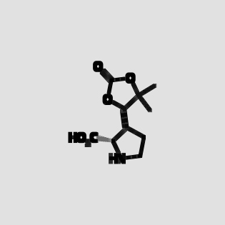 CC1(C)OC(=O)OC1=C1CCN[C@@H]1C(=O)O